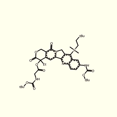 CCC1(OC(=O)CNC(=O)OC(C)(C)C)C(=O)OCc2c1cc1n(c2=O)Cc2c-1nc1ccc(NC(=O)OC(C)(C)C)cc1c2[Si](C)(C)CCC(C)(C)C